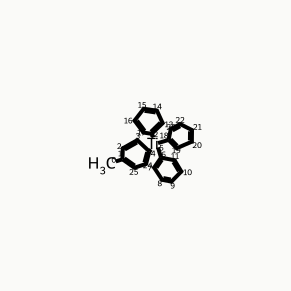 Cc1cc[c]([Ti]([c]2ccccc2)([c]2ccccc2)[c]2ccccc2)cc1